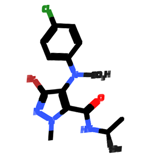 C[C@H](NC(=O)c1c(N(c2ccc(Cl)cc2)S(=O)(=O)O)c(Br)nn1C)C(C)(C)C